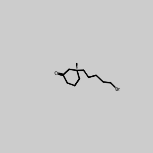 C[C@@]1(CCCCCBr)CCCC(=O)C1